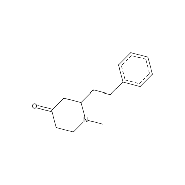 CN1CCC(=O)CC1CCc1ccccc1